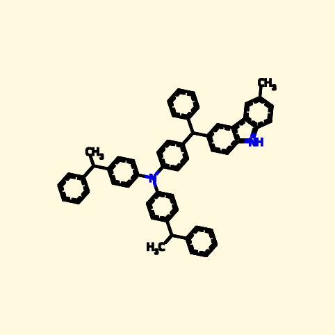 Cc1ccc2[nH]c3ccc(C(c4ccccc4)c4ccc(N(c5ccc(C(C)c6ccccc6)cc5)c5ccc(C(C)c6ccccc6)cc5)cc4)cc3c2c1